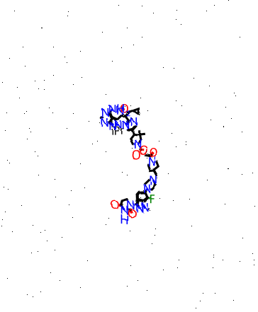 CC(C)n1nc(-c2noc(C3CC3)c2-c2ncc(C3CCN(C(=O)OCC(=O)N4CCC(CN5CCN(c6ccc7c(N8CCC(=O)NC8=O)nn(C)c7c6F)CC5)CC4)CC3(C)C)cn2)c2c(N)ncnc21